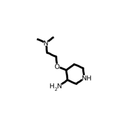 CN(C)CCOC1CCNCC1N